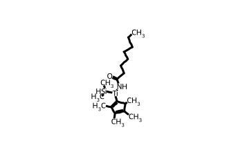 CCCCCCCC(=O)[NH][Ti]([C]1=C(C)C(C)=C(C)C1C)[SiH](C)C